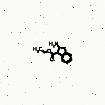 CCOC(=O)C1c2ccccc2CC1N